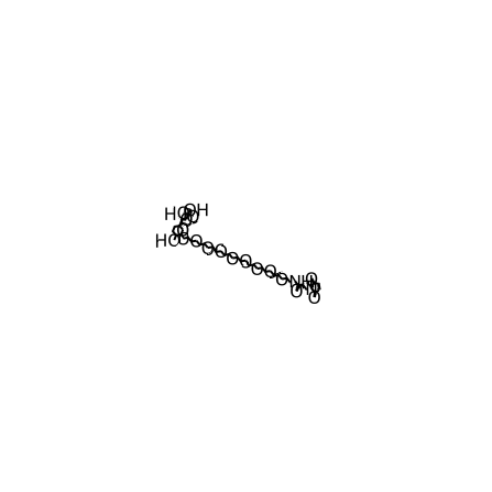 O=C(CCN1C(=O)C=CC1=O)NCCOCCOCCOCCOCCOCCOCCOCCOCCOC1OC(COP(=O)(O)O)CCC1O